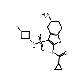 N[C@H]1CCc2sc(NC(=O)C3CC3)c(S(=O)(=O)N[C@H]3C[C@H](F)C3)c2C1